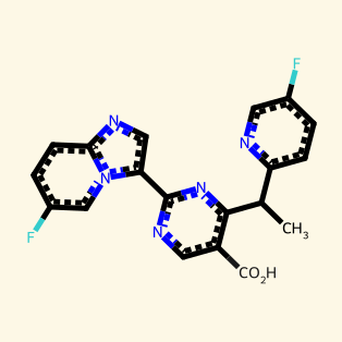 CC(c1ccc(F)cn1)c1nc(-c2cnc3ccc(F)cn23)ncc1C(=O)O